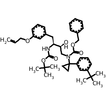 C=CCOc1cccc(C[C@H](NC(=O)OC(C)(C)C)[C@@H](O)CN(C(=O)OCc2ccccc2)C2(c3cccc(C(C)(C)C)c3)CC2)c1